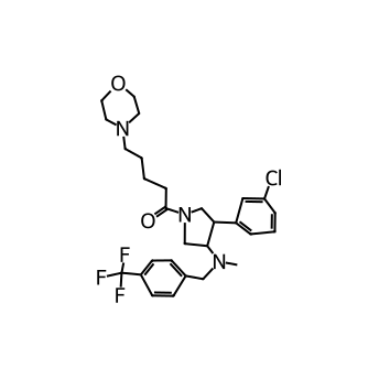 CN(Cc1ccc(C(F)(F)F)cc1)C1CN(C(=O)CCCCN2CCOCC2)CC1c1cccc(Cl)c1